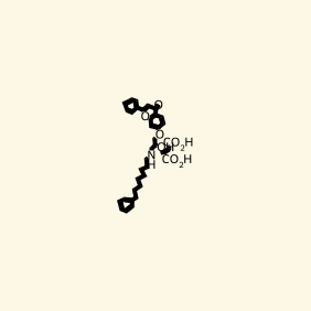 O=C(O)C=CC(=O)O.O=c1cc(-c2ccccc2)oc2cc(OCC(O)CNCCCCCCCCc3ccccc3)ccc12